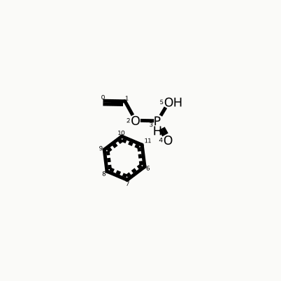 C=CO[PH](=O)O.c1ccccc1